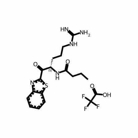 CCCC(=O)N[C@@H](CCCNC(=N)N)C(=O)c1nc2ccccc2s1.O=C(O)C(F)(F)F